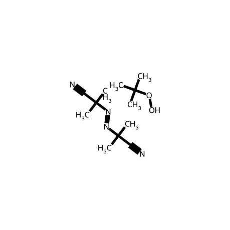 CC(C)(C#N)N=NC(C)(C)C#N.CC(C)(C)OO